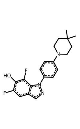 CC1(C)CCN(c2ccc(-n3ncc4cc(F)c(O)c(F)c43)cc2)CC1